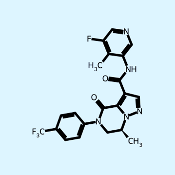 Cc1c(F)cncc1NC(=O)c1cnn2c1C(=O)N(c1ccc(C(F)(F)F)cc1)C[C@@H]2C